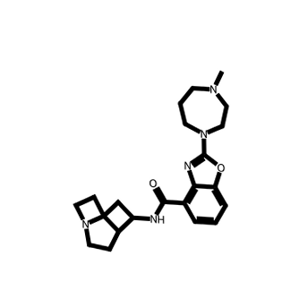 CN1CCCN(c2nc3c(C(=O)NC4CC56CCN5CCC46)cccc3o2)CC1